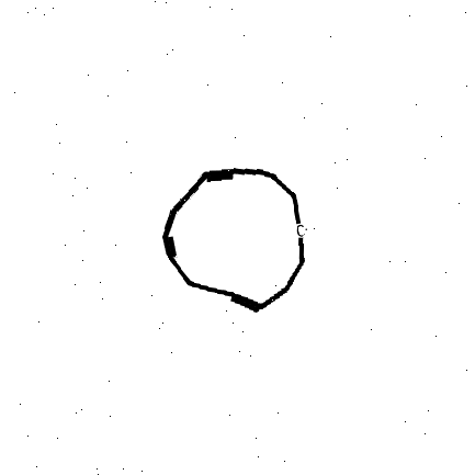 [CH]1CC/C=C\C/C=C\C/C=C/CC1